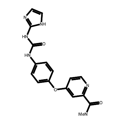 CNC(=O)c1cc(Oc2ccc(NC(=O)Nc3ncc[nH]3)cc2)ccn1